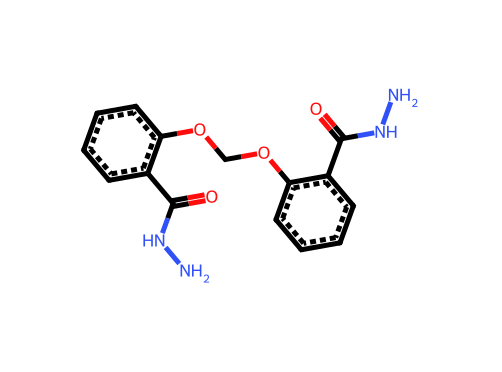 NNC(=O)c1ccccc1OCOc1ccccc1C(=O)NN